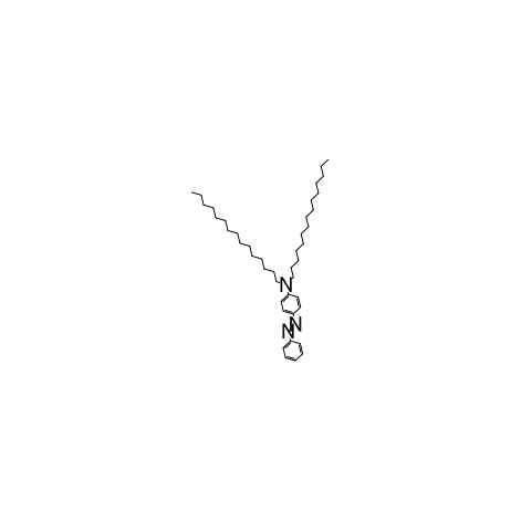 CCCCCCCCCCCCCCCN(CCCCCCCCCCCCCCC)c1ccc(/N=N/c2ccccc2)cc1